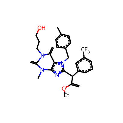 C=C(OCC)C(c1cccc(C(F)(F)F)c1)c1nc2c(n1Cc1ccc(C)cc1)C(=C)N(CCCO)C(=C)N2C